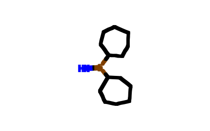 N=S(C1CCCCCC1)C1CCCCCC1